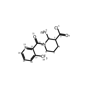 CCCC1C(C(=O)Cl)CCCN1C(=O)c1ncccc1C(F)(F)F